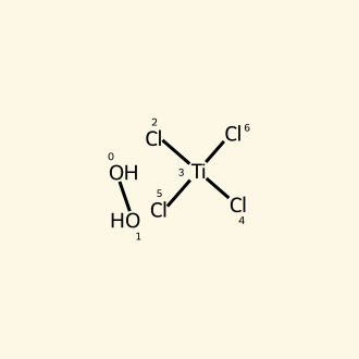 OO.[Cl][Ti]([Cl])([Cl])[Cl]